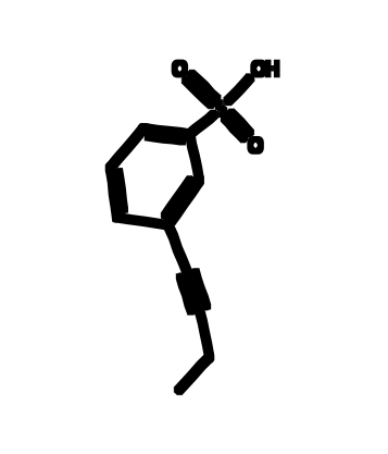 CCC#Cc1cccc(S(=O)(=O)O)c1